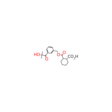 CC(C)(O)C(=O)c1cccc(COC(=O)C2CCCCC2C(=O)O)c1